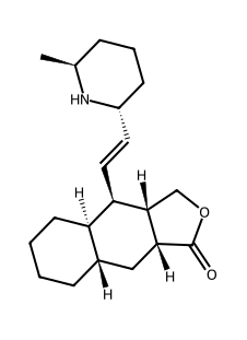 C[C@H]1CCC[C@H](C=C[C@@H]2[C@@H]3CCCC[C@H]3C[C@H]3C(=O)OC[C@@H]23)N1